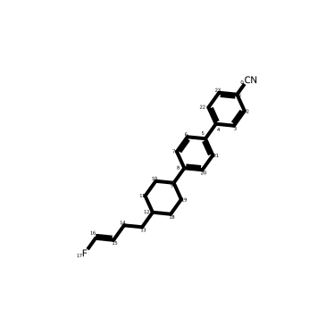 N#Cc1ccc(-c2ccc(C3CCC(CCC=CF)CC3)cc2)cc1